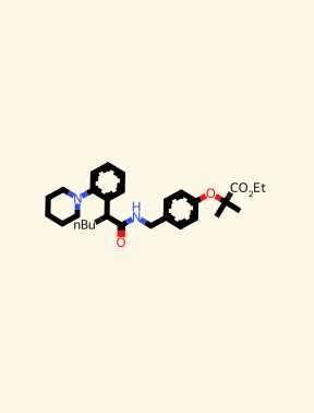 CCCCC(C(=O)NCc1ccc(OC(C)(C)C(=O)OCC)cc1)c1ccccc1N1CCCCC1